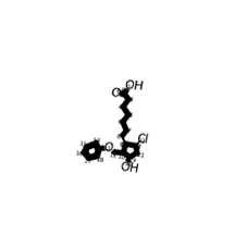 O=C(O)CCCCCC[C@@H]1C(COc2ccccc2)C(O)C[C@H]1Cl